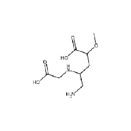 COC(CC(CN)NCC(=O)O)C(=O)O